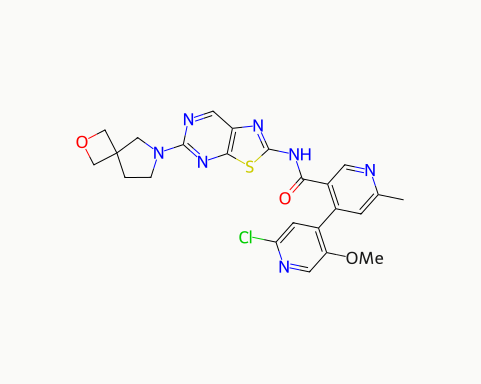 COc1cnc(Cl)cc1-c1cc(C)ncc1C(=O)Nc1nc2cnc(N3CCC4(COC4)C3)nc2s1